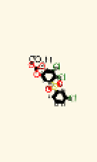 O=C(O)OC1Oc2cc(S(=O)(=O)c3cccc(Cl)c3)c(Cl)c(Cl)c2O1